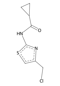 O=C(Nc1nc(CCl)cs1)C1CC1